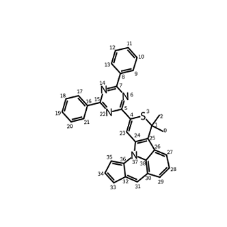 CC1(C)SC(c2nc(-c3ccccc3)nc(-c3ccccc3)n2)=Cc2c1c1cccc3cc4cccc4n2c31